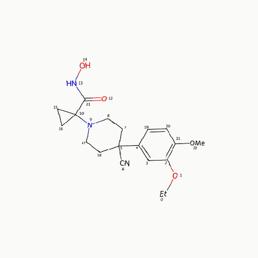 CCOc1cc(C2(C#N)CCN(C3(C(=O)NO)CC3)CC2)ccc1OC